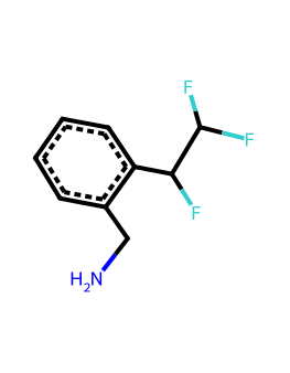 NCc1ccccc1C(F)C(F)F